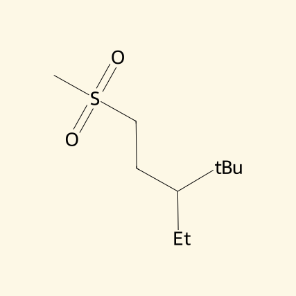 CCC(CCS(C)(=O)=O)C(C)(C)C